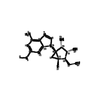 CSc1nc(N)c2ncn([C@]34C[C@H]3[C@H](CO)[C@@H](O)[C@H]4O)c2n1